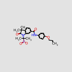 C=CCOc1ccc(NC(=O)c2ccc3c(c2)N(C(C)(C)P(=O)=O)C(=O)C3(C)C)cc1